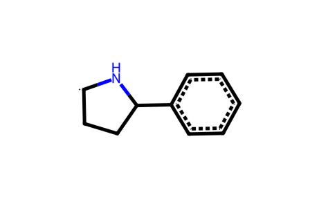 [CH]1CCC(c2ccccc2)N1